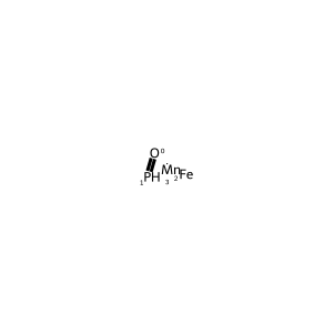 O=P.[Fe].[Mn]